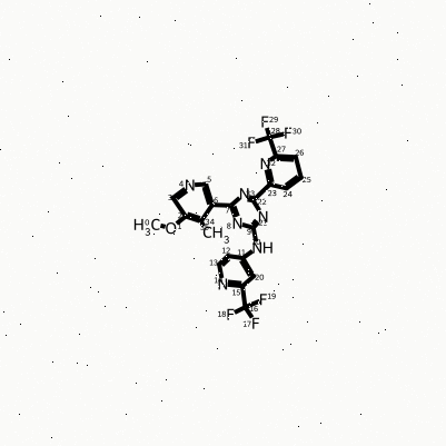 COc1cncc(-c2nc(Nc3ccnc(C(F)(F)F)c3)nc(-c3cccc(C(F)(F)F)n3)n2)c1C